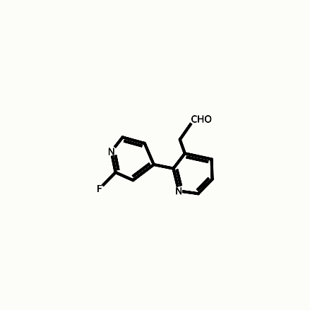 O=CCc1cccnc1-c1ccnc(F)c1